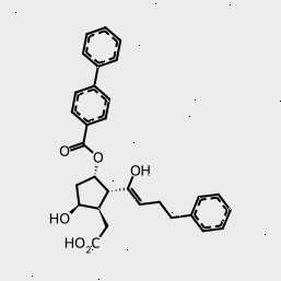 O=C(O)C[C@@H]1[C@@H](C(O)=CCCc2ccccc2)[C@@H](OC(=O)c2ccc(-c3ccccc3)cc2)C[C@@H]1O